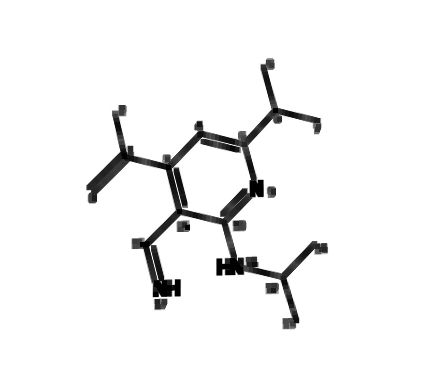 C=C(C)c1cc(C(C)C)nc(NC(C)C)c1C=N